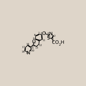 O=C(O)c1cnc(Oc2ccc3c(c2)CCC(c2cccnc2)O3)s1